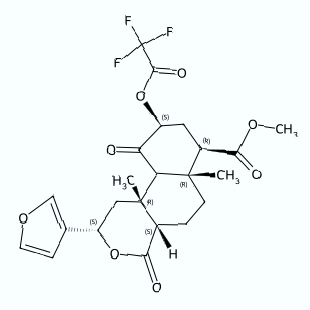 COC(=O)[C@@H]1C[C@H](OC(=O)C(F)(F)F)C(=O)C2[C@@]3(C)C[C@@H](c4ccoc4)OC(=O)[C@H]3CC[C@]21C